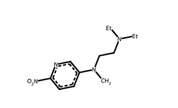 CCN(CC)CCN(C)c1ccc([N+](=O)[O-])nc1